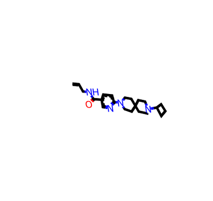 C=CCNC(=O)c1ccc(N2CCC3(CC2)CCN(C2CCC2)CC3)nc1